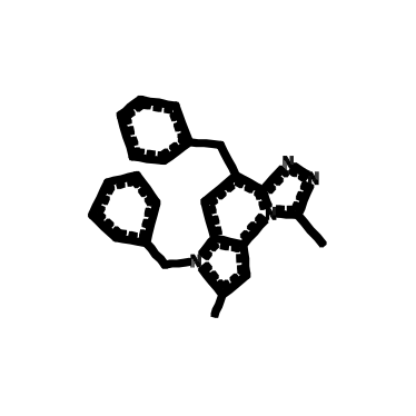 Cc1cc2c(cc(Cc3ccccc3)c3nnc(C)n32)n1Cc1ccccc1